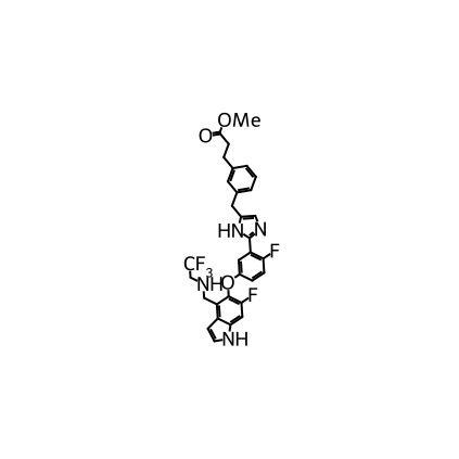 COC(=O)CCc1cccc(Cc2cnc(-c3cc(Oc4c(F)cc5[nH]ccc5c4CNCC(F)(F)F)ccc3F)[nH]2)c1